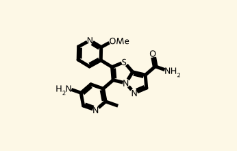 COc1ncccc1-c1sc2c(C(N)=O)cnn2c1-c1cc(N)cnc1C